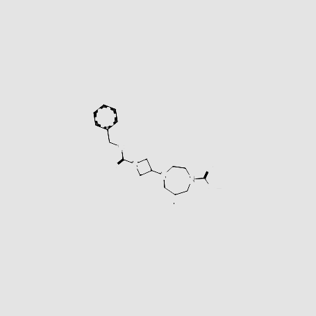 O=C(O)N1CCN(C2CN(C(=O)OCc3ccccc3)C2)C[C@@H](F)C1